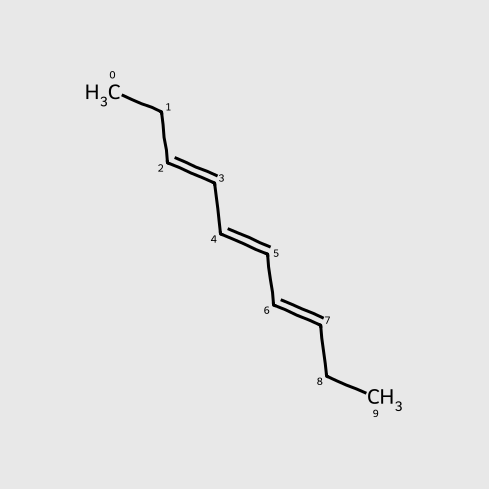 CCC=CC=CC=CCC